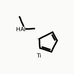 [CH3][AlH][CH3].[CH]1C=CC=C1.[Ti]